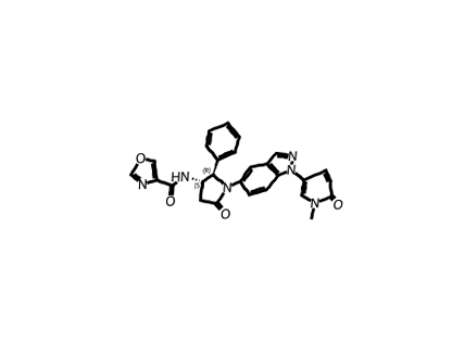 Cn1cc(-n2ncc3cc(N4C(=O)C[C@H](NC(=O)c5cocn5)[C@H]4c4ccccc4)ccc32)ccc1=O